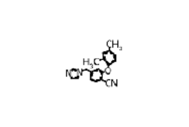 Cc1ccc(Oc2cc(Cn3ccnc3)ccc2C#N)c(C)c1